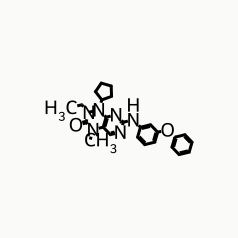 CCN1C(=O)N(C)c2cnc(Nc3cccc(Oc4ccccc4)c3)nc2N1C1CCCC1